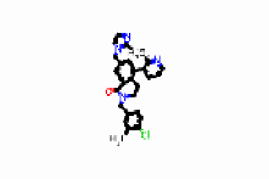 Cc1cc(CN2CCc3c(cc(Cn4ccnc4C)cc3-c3cccnc3C)C2=O)ccc1Cl